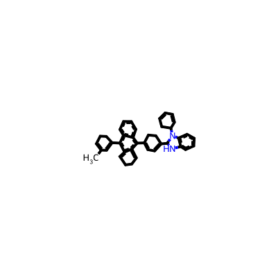 CC1=CCCC(c2c3c(c(C4=CC=C(C5Nc6ccccc6N5C5C=CC=CC5)CC4)c4ccccc24)=CCCC=3)=C1